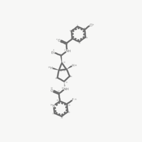 CCC(NC(=O)c1ccc(Cl)cc1)[C@H]1[C@@H]2C[C@H](NC(=O)c3ncccc3F)C[C@@H]21